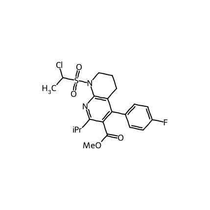 COC(=O)c1c(C(C)C)nc2c(c1-c1ccc(F)cc1)CCCN2S(=O)(=O)C(C)Cl